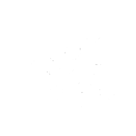 c1ccc(-c2cc(-c3ccc4c(c3-c3ccc5c(c3)C(c3ccccc3)(c3ccccc3)c3ccccc3-5)CCc3ccccc3-4)nc(-c3ccccc3)n2)cc1